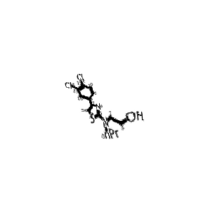 CCCN(CCO)c1nc(-c2ccc(Cl)c(Cl)c2)cs1